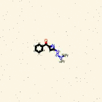 CC(C)N(N=NC1=CC(C(=O)c2ccccc2)=N1)C(C)C